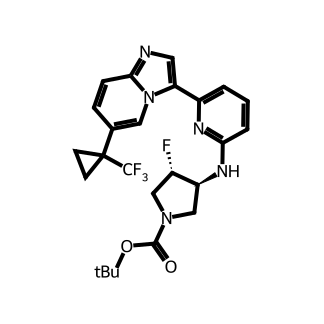 CC(C)(C)OC(=O)N1C[C@H](Nc2cccc(-c3cnc4ccc(C5(C(F)(F)F)CC5)cn34)n2)[C@@H](F)C1